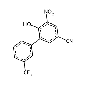 N#Cc1cc(-c2cccc(C(F)(F)F)c2)c(O)c([N+](=O)[O-])c1